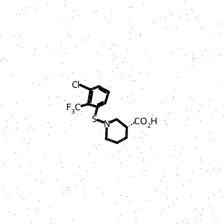 O=C(O)[C@@H]1CCCN(Sc2cccc(Cl)c2C(F)(F)F)C1